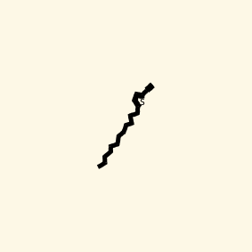 C#Cc1ccc(CCCCCCCCCCCC)s1